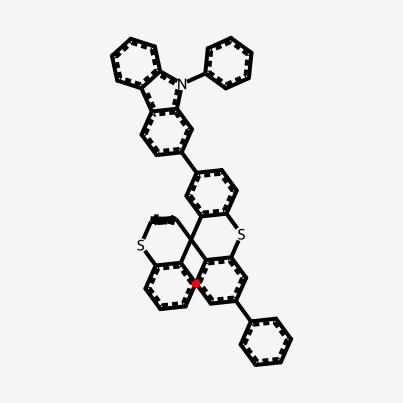 c1ccc(-c2ccc3c(c2)Sc2ccc(-c4ccc5c6ccccc6n(-c6ccccc6)c5c4)cc2C32c3ccccc3Sc3ccccc32)cc1